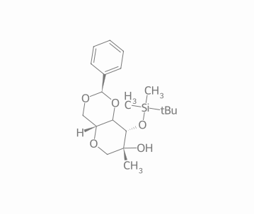 CC(C)(C)[Si](C)(C)O[C@H]1C2O[C@H](c3ccccc3)OC[C@H]2OC[C@@]1(C)O